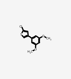 COc1cc(OC)cc(-c2[c]sc(Cl)c2)c1